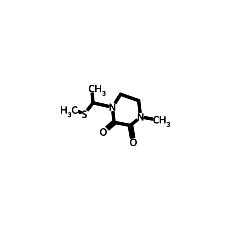 CSC(C)N1CCN(C)C(=O)C1=O